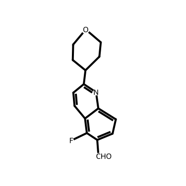 O=Cc1ccc2nc(C3CCOCC3)ccc2c1F